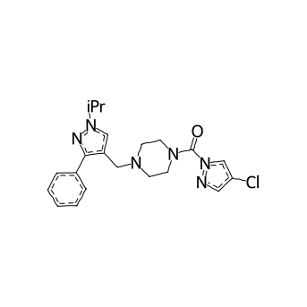 CC(C)n1cc(CN2CCN(C(=O)n3cc(Cl)cn3)CC2)c(-c2ccccc2)n1